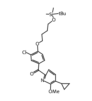 COc1nc(C(=O)c2ccc(OCCCCO[Si](C)(C)C(C)(C)C)c(Cl)c2)ccc1C1CC1